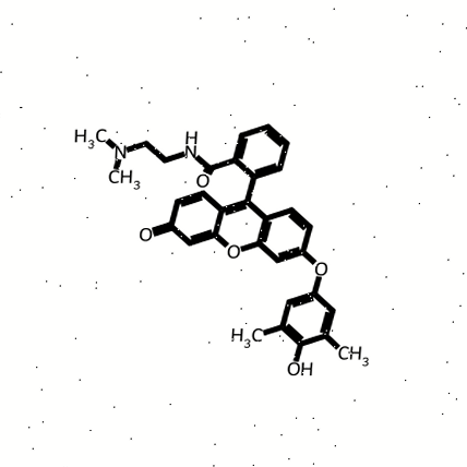 Cc1cc(Oc2ccc3c(-c4ccccc4C(=O)NCCN(C)C)c4ccc(=O)cc-4oc3c2)cc(C)c1O